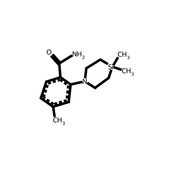 Cc1ccc(C(N)=O)c(N2CC[Si](C)(C)CC2)c1